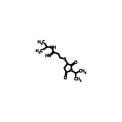 CC(C)NC(=N)CCSC1CC(=O)N(C(C)C)C1=O